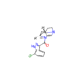 O=C(c1n[nH]c2c(Cl)cccc12)N1C2=CN3CC[C@H]2C[C@H]1C3